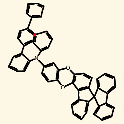 c1ccc(-c2ccc(-c3ccccc3N(c3ccccc3)c3ccc4c(c3)Oc3ccc5c(c3O4)-c3ccccc3C53c4ccccc4-c4ccccc43)cc2)cc1